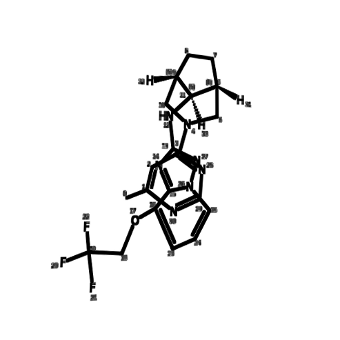 Cc1cc(N2C[C@H]3CC[C@@H](C2)[C@@H]3Nc2nc3c(OCC(F)(F)F)cccn3n2)ncn1